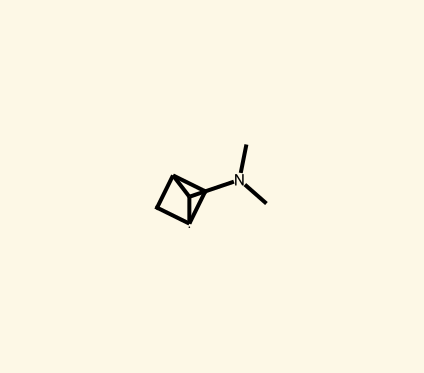 CN(C)C1[C]2CC1C2